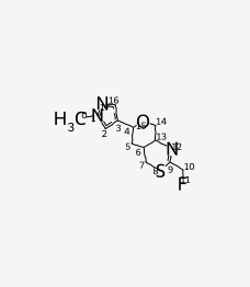 Cn1cc(C2CC3CSC(CF)=NC3CO2)cn1